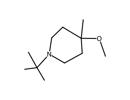 COC1(C)CCN(C(C)(C)C)CC1